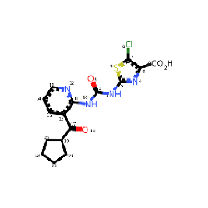 O=C(Nc1nc(C(=O)O)c(Cl)s1)Nc1ncccc1C(=O)C1CCCC1